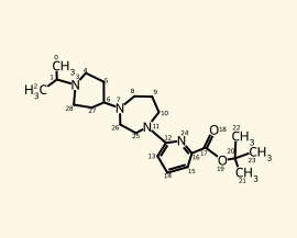 CC(C)N1CCC(N2CCCN(c3cccc(C(=O)OC(C)(C)C)n3)CC2)CC1